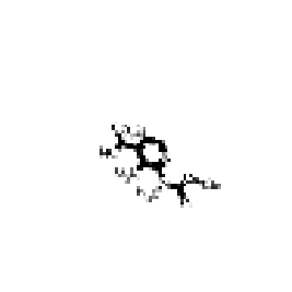 CCOC(=O)C(C#N)c1ccnc(N(C)C(=O)OC(C)(C)C)c1[N+](=O)[O-]